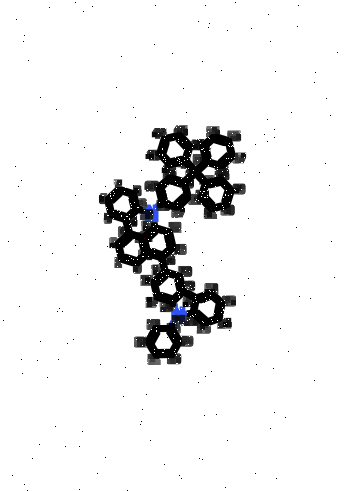 c1ccc(-c2ccccc2N(c2ccc(-c3ccc4c(c3)c3ccccc3n4-c3ccccc3)cc2)c2ccc(C(c3ccccc3)(c3ccccc3)c3ccccc3)cc2)cc1